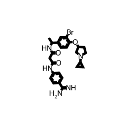 CC(NC(=O)CC(=O)Nc1ccc(C(=N)N)cc1)c1ccc(OC2CCN(C3CC3)C2)c(Br)c1